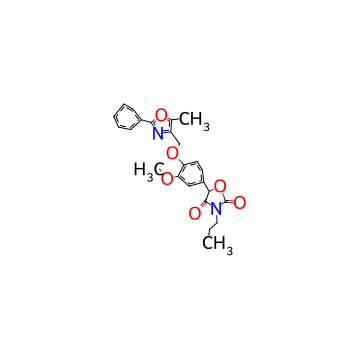 CCCN1C(=O)OC(c2ccc(OCc3nc(-c4ccccc4)oc3C)c(OC)c2)C1=O